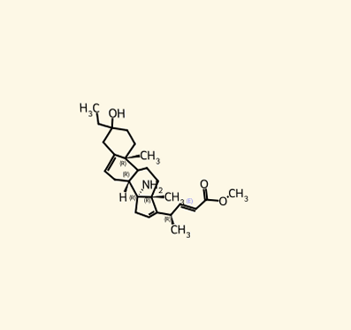 CCC1(O)CC[C@@]2(C)C(=CC[C@@H]3C2CC[C@]2(C)C([C@H](C)/C=C/C(=O)OC)=CC[C@@]32N)C1